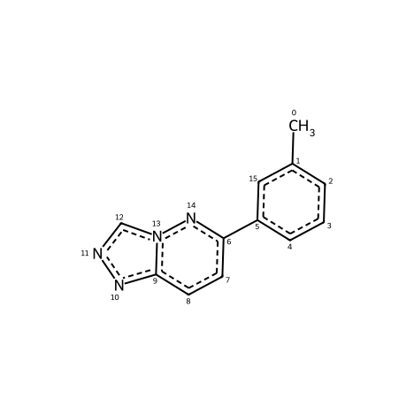 Cc1cccc(-c2ccc3nncn3n2)c1